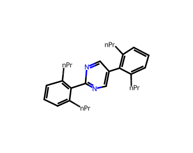 CCCc1cccc(CCC)c1-c1cnc(-c2c(CCC)cccc2CCC)nc1